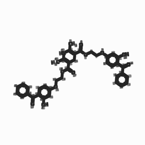 CC1=C(C(=O)OCCOc2ccc(C(=O)c3ccccc3)c(O)c2)CC(C(=O)OCCOc2ccc(C(=O)c3ccccc3)c(O)c2)=C(C)N1